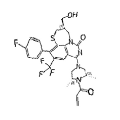 C=CC(=O)N1[C@H](C)CN(c2nc(=O)n3c4c(c(-c5ccc(F)cc5)c(C(F)(F)F)cc24)SC[C@@H](CO)C3)C[C@@H]1C